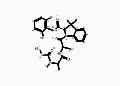 CC(C)C(NC(=O)C(C)N(C)C(=O)OC(C)(C)C)C(=O)N1c2ccccc2C(C)(C)[C@@H]1C(=O)Nc1c(F)cccc1F